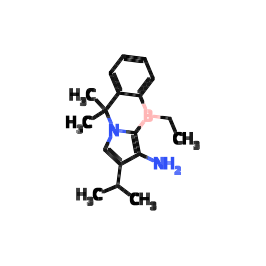 CCB1c2ccccc2C(C)(C)n2cc(C(C)C)c(N)c21